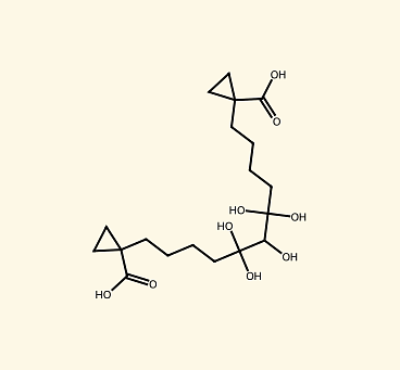 O=C(O)C1(CCCCC(O)(O)C(O)C(O)(O)CCCCC2(C(=O)O)CC2)CC1